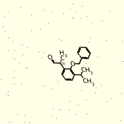 CC(C)c1cccc([C@H](C)C=O)c1OCc1ccccc1